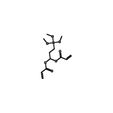 C=CC(=O)OC(CC[Si](OC)(OC)OC)OC(=O)C=C